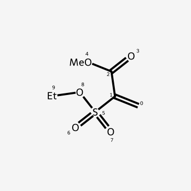 C=C(C(=O)OC)S(=O)(=O)OCC